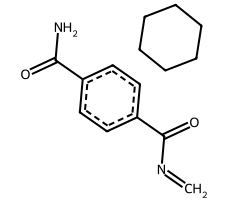 C1CCCCC1.C=NC(=O)c1ccc(C(N)=O)cc1